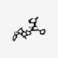 C=C/C=C(\C=C/C)c1nc(-c2ccccc2)cc(-c2ccc3c(c2)-c2ccc4oc5ccccc5c4c2C3(C)C)n1